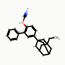 CCC12CC3CC(C1)CC(c1ccc(OC#N)c(-c4ccccc4)c1)(C3)C2